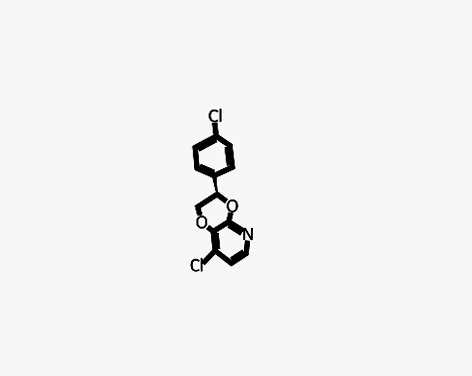 Clc1ccc([C@@H]2COc3c(Cl)ccnc3O2)cc1